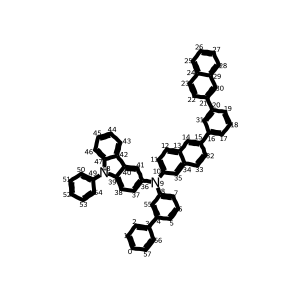 c1ccc(-c2cccc(N(c3ccc4cc(-c5cccc(-c6ccc7ccccc7c6)c5)ccc4c3)c3ccc4c(c3)c3ccccc3n4-c3ccccc3)c2)cc1